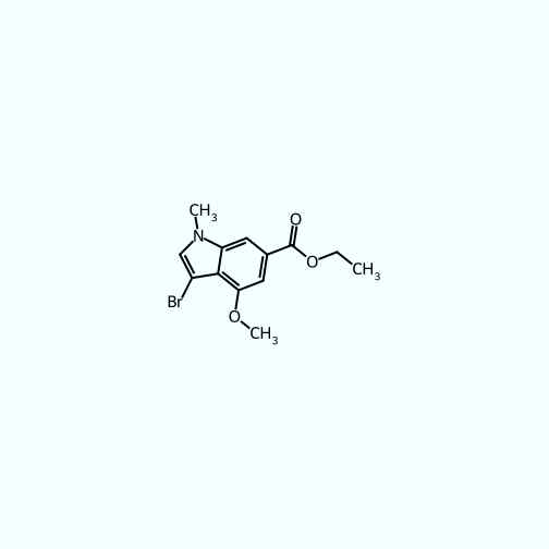 CCOC(=O)c1cc(OC)c2c(Br)cn(C)c2c1